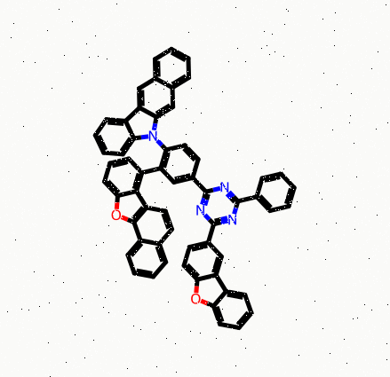 c1ccc(-c2nc(-c3ccc(-n4c5ccccc5c5cc6ccccc6cc54)c(-c4cccc5oc6c7ccccc7ccc6c45)c3)nc(-c3ccc4oc5ccccc5c4c3)n2)cc1